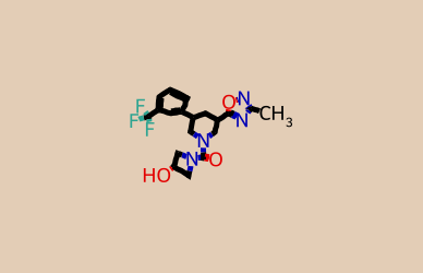 Cc1noc(C2CC(c3cccc(C(F)(F)F)c3)CN(C(=O)N3CC(O)C3)C2)n1